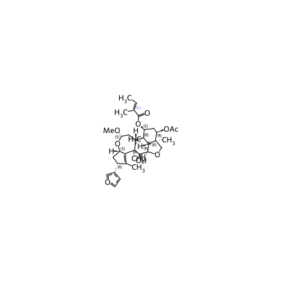 C/C=C(\C)C(=O)O[C@H]1C[C@@H](OC(C)=O)[C@@]2(C)CO[C@H]3[C@@H](O)[C@@]4(C)C5=C(C)[C@H](c6ccoc6)C[C@@H]5O[C@H](OC)C[C@@H]4[C@]1(C)[C@@H]32